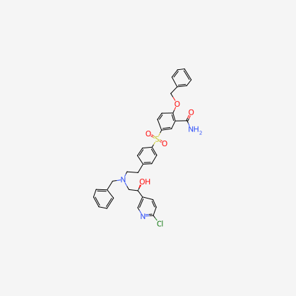 NC(=O)c1cc(S(=O)(=O)c2ccc(CCN(Cc3ccccc3)C[C@@H](O)c3ccc(Cl)nc3)cc2)ccc1OCc1ccccc1